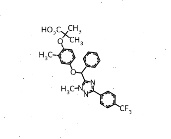 Cc1cc(OC(c2ccccc2)c2nc(-c3ccc(C(F)(F)F)cc3)nn2C)ccc1OC(C)(C)C(=O)O